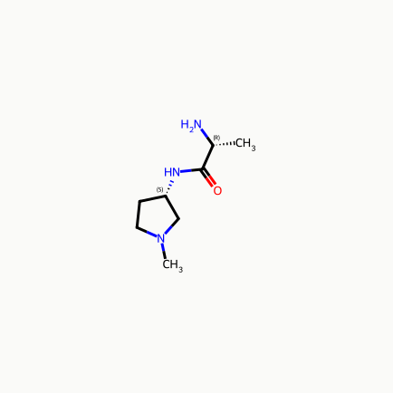 C[C@@H](N)C(=O)N[C@H]1CCN(C)C1